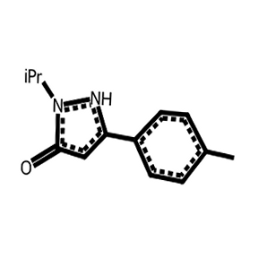 Cc1ccc(-c2cc(=O)n(C(C)C)[nH]2)cc1